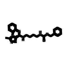 Cc1nnc2c(NCCCCNC(=O)OCc3ccccc3)nc3ccccc3n12